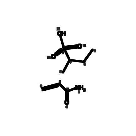 C=CC(N)=O.CCC(C)S(=O)(=O)O